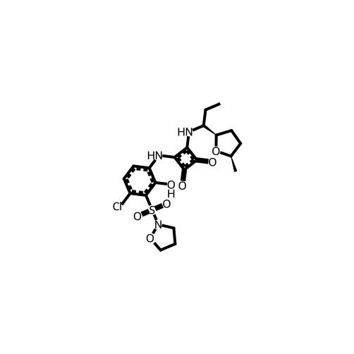 CCC(Nc1c(Nc2ccc(Cl)c(S(=O)(=O)N3CCCO3)c2O)c(=O)c1=O)[C@H]1CC[C@@H](C)O1